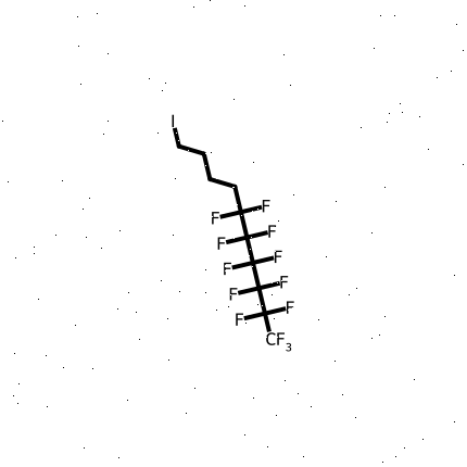 FC(F)(F)C(F)(F)C(F)(F)C(F)(F)C(F)(F)C(F)(F)CCCCI